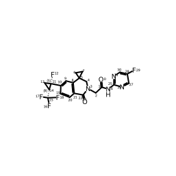 O=C(CN1CC2(CC2)c2cc([C@]3(F)C[C@H]3C(F)(F)F)ccc2C1=O)Nc1ncc(F)cn1